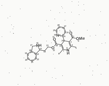 COC(=O)C1=C(C)NC(C)=C(C(=O)OCCC2NCc3ccccc32)C1c1ccccn1